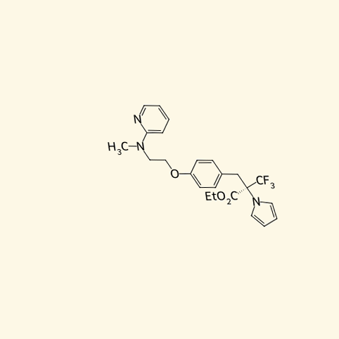 CCOC(=O)[C@@](Cc1ccc(OCCN(C)c2ccccn2)cc1)(n1cccc1)C(F)(F)F